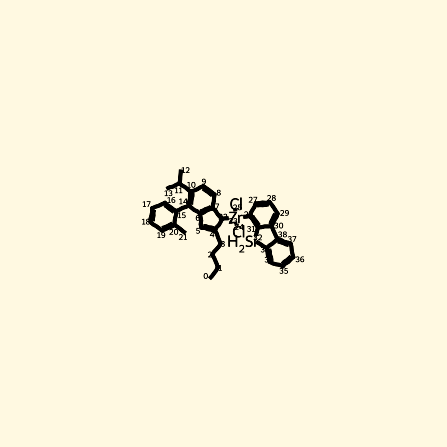 CCCCC1=Cc2c(ccc(C(C)C)c2-c2ccccc2C)[CH]1[Zr]([Cl])([Cl])[c]1cccc2c1[SiH2]c1ccccc1-2